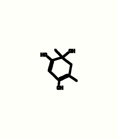 CC1=C(O)C=C(O)C(C)(O)C1